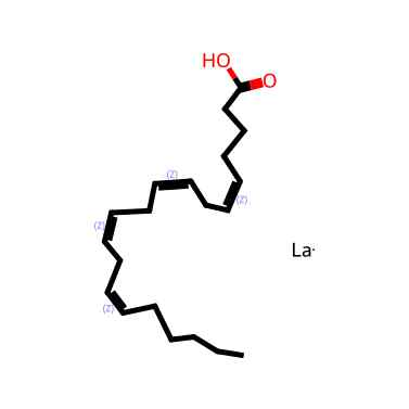 CCCCC/C=C\C/C=C\C/C=C\C/C=C\CCCC(=O)O.[La]